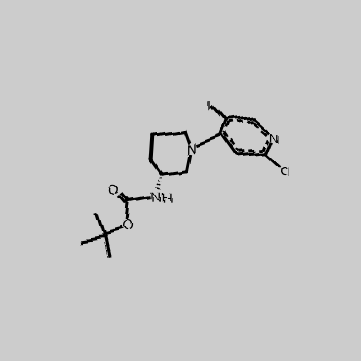 CC(C)(C)OC(=O)N[C@@H]1CCCN(c2cc(Cl)ncc2I)C1